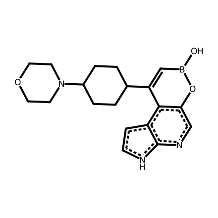 OB1C=C(C2CCC(N3CCOCC3)CC2)c2c(cnc3[nH]ccc23)O1